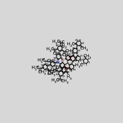 Cc1cccc(C)c1-c1ccc2c(c1)-c1cc(-c3c(C)cccc3C)ccc1C2c1ccc2c(c1)C(c1c(-c3ccccc3)cccc1-c1ccccc1)c1cc(-c3c(C(C)C)cc(C(C)C)cc3C(C)C)cc3c1B2c1cc(-c2c(C(C)C)cc(C(C)C)cc2C(C)C)ccc1N3c1ccc(-c2c(C(C)C)cc(C(C)C)cc2C(C)C)cc1